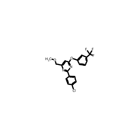 COCc1cc(Oc2cccc(C(F)(F)F)c2)nc(-c2ccc(Cl)cc2)n1